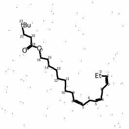 CC/C=C\C/C=C\C/C=C\CCCCCCCCOC(=O)CCC(C)(C)C